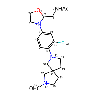 CC(=O)NC[C@@H]1OCCN1c1ccc(N2CCC3(CCN(C=O)C3)C2)c(F)c1